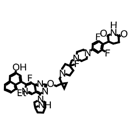 CCc1cccc2cc(O)cc(-c3ncc4c(N5CC6CCC(C5)N6)nc(OCC5(CN6CCC(F)(CN7CCN(c8cc(F)c(C9CCC(=O)NC9=O)c(F)c8)CC7)CC6)CC5)nc4c3F)c12